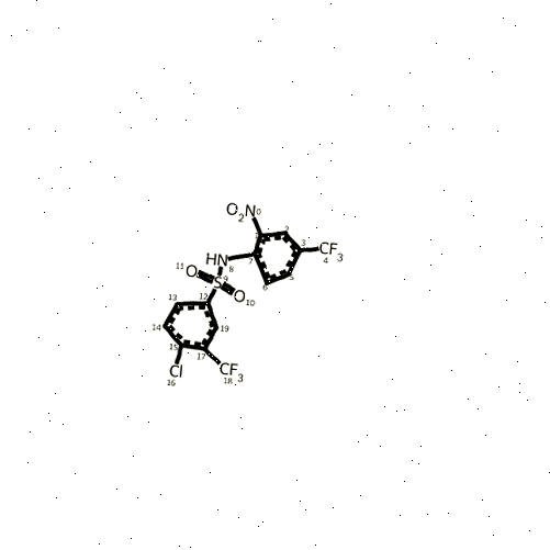 O=[N+]([O-])c1cc(C(F)(F)F)ccc1NS(=O)(=O)c1ccc(Cl)c(C(F)(F)F)c1